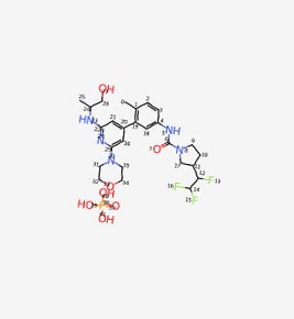 Cc1ccc(NC(=O)N2CCC(C(F)C(F)F)C2)cc1-c1cc(NC(C)CO)nc(N2CCOCC2)c1.O=P(O)(O)O